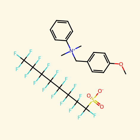 COc1ccc(C[N+](C)(C)c2ccccc2)cc1.O=S(=O)([O-])C(F)(F)C(F)(F)C(F)(F)C(F)(F)C(F)(F)C(F)(F)C(F)(F)C(F)(F)F